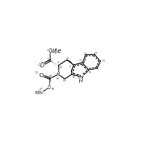 COC(=O)[C@@H]1Cc2c([nH]c3ccccc23)CN1C(=O)OC(C)(C)C